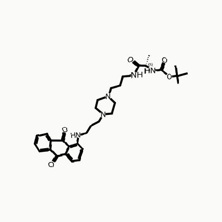 C[C@H](NC(=O)OC(C)(C)C)C(=O)NCCCN1CCN(CCCNc2cccc3c2C(=O)c2ccccc2C3=O)CC1